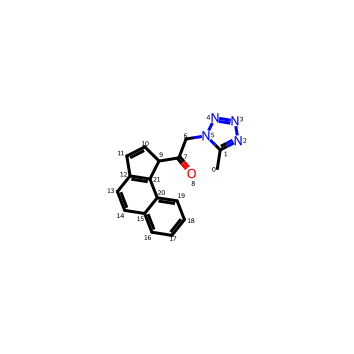 Cc1nnnn1CC(=O)C1C=Cc2ccc3ccccc3c21